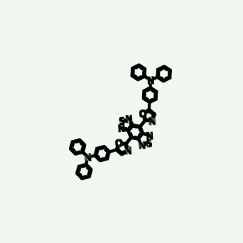 c1ccc(N(c2ccccc2)c2ccc(-c3cnc(-c4c5c(c(-c6ncc(-c7ccc(N(c8ccccc8)c8ccccc8)cc7)o6)c6nsnc46)N=S=N5)o3)cc2)cc1